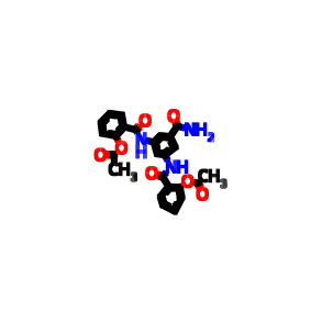 CC(=O)Oc1ccccc1C(=O)Nc1cc(NC(=O)c2ccccc2OC(C)=O)cc(C(N)=O)c1